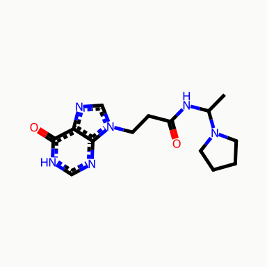 CC(NC(=O)CCn1cnc2c(=O)[nH]cnc21)N1CCCC1